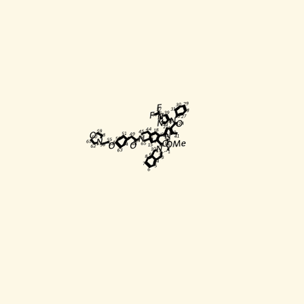 COC[C@@H]1Cc2ccccc2CN1C(=O)c1cc2c(cc1-c1cc(C(=O)N(c3ccccc3)c3cnn(C(F)F)c3)c(C)n1C)CCN(C(=O)Cc1ccc(OCCN3CCOCC3)cc1)C2